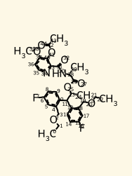 CCOCc1cc(F)ccc1C(c1ccc(F)cc1COCC)[C@H](C)OC(=O)[C@H](C)NC(=O)c1nccc(OC)c1OC(C)=O